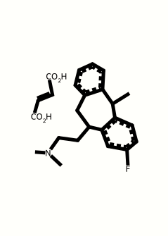 CC1c2ccccc2CC(CCN(C)C)c2cc(F)ccc21.O=C(O)C=CC(=O)O